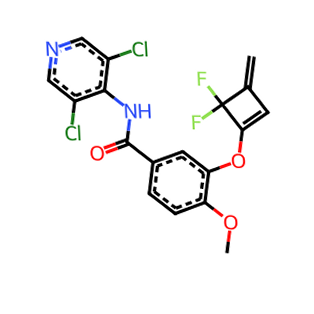 C=C1C=C(Oc2cc(C(=O)Nc3c(Cl)cncc3Cl)ccc2OC)C1(F)F